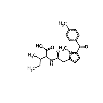 CCC(C)C(NC(=O)Cc1ccc(C(=O)c2ccc(C)cc2)n1C)C(=O)O